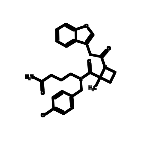 CC1(C(=O)N(CCCC(N)=O)Cc2ccc(Cl)cc2)CCN1C(=O)Cc1coc2ccccc12